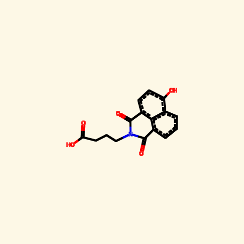 O=C(O)CCCN1C(=O)c2cccc3c(O)ccc(c23)C1=O